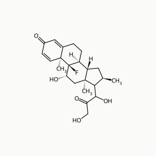 C[C@@H]1C[C@H]2[C@@H]3CCC4=CC(=O)C=C[C@]4(C)[C@@]3(F)[C@@H](O)C[C@]2(C)C1C(O)C(=O)CO